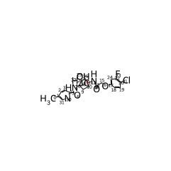 Cc1ccc(C(=O)NC23CCC(NC(=O)COc4ccc(Cl)c(F)c4)(CC2)C[C@@H]3O)nc1